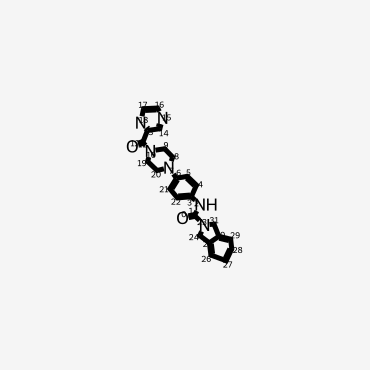 O=C(Nc1ccc(N2CCN(C(=O)c3cnccn3)CC2)cc1)N1Cc2ccccc2C1